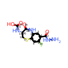 NNC(=O)c1cc2c(cc1F)SC[C@H](NC(=O)O)C(=O)N2